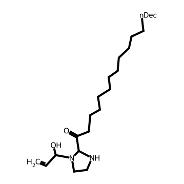 C=CC(O)N1CCNC1C(=O)CCCCCCCCCCCCCCCCCCCCC